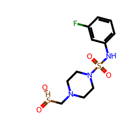 O=[SH](=O)CN1CCN(S(=O)(=O)Nc2cccc(F)c2)CC1